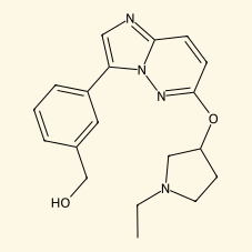 CCN1CCC(Oc2ccc3ncc(-c4cccc(CO)c4)n3n2)C1